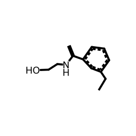 C=C(NCCO)c1cccc(CC)c1